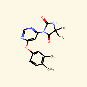 COc1ccc(Oc2cc(N3C(=O)NC(C)(C)C3=O)ncn2)cc1C